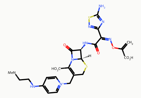 C=C(O/N=C(\C(=O)N[C@@H]1C(=O)N2C(C(=O)O)=C(C[n+]3ccc(NCCNC)cc3)CS[C@H]12)c1nsc(N)n1)C(=O)O